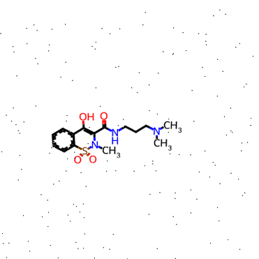 CN(C)CCCNC(=O)C1=C(O)c2ccccc2S(=O)(=O)N1C